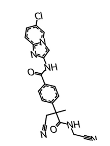 CC(CC#N)(C(=O)NCC#N)c1ccc(C(=O)Nc2cn3cc(Cl)ccc3n2)cc1